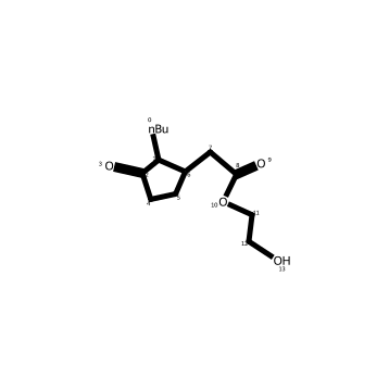 CCCCC1C(=O)CCC1CC(=O)OCCO